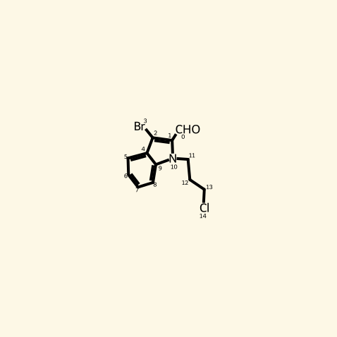 O=Cc1c(Br)c2ccccc2n1CCCCl